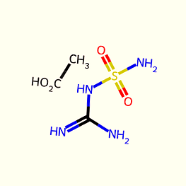 CC(=O)O.N=C(N)NS(N)(=O)=O